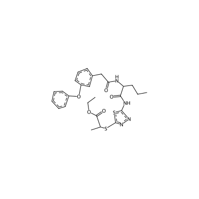 CCCC(NC(=O)Cc1cccc(Oc2ccccc2)c1)C(=O)Nc1nnc(SC(C)C(=O)OCC)s1